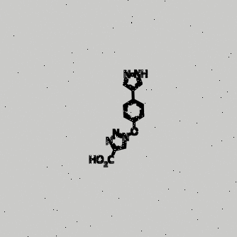 O=C(O)c1cn(Oc2ccc(-c3cn[nH]c3)cc2)nn1